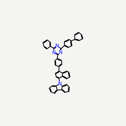 c1ccc(-c2ccc(-c3nc(-c4ccccc4)nc(-c4ccc(-c5ccc(-n6c7ccccc7c7ccccc76)c6ccccc56)cc4)n3)cc2)cc1